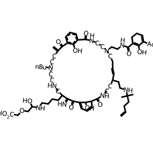 C=CCCC(C)(C)NCCC1/C=C/CCN(CCNC(=O)C2=C(O)C(C(C)=O)=CCC2)CCNC(=O)c2cccc(c2O)C(=O)C(=C)CCN(CCCC)CCNCC(CCCCNC(O)COCC(=O)O)C(=N)C(=O)C2=CC=CC(C(=O)NCC1)C2O